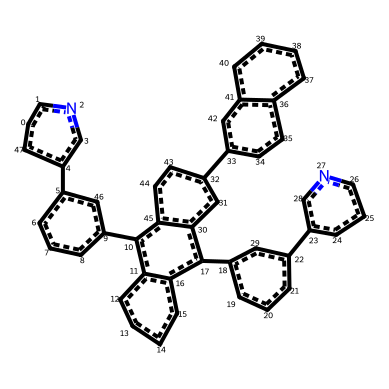 c1cncc(-c2cccc(-c3c4ccccc4c(-c4cccc(-c5cccnc5)c4)c4cc(-c5ccc6ccccc6c5)ccc34)c2)c1